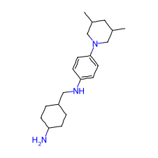 CC1CC(C)CN(c2ccc(NCC3CCC(N)CC3)cc2)C1